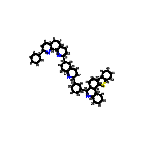 c1ccc(-c2ccc3ccc4ccc(-c5ccc6nc(-c7cccc(-c8nc9ccccc9c9c8ccc8c%10ccccc%10sc89)c7)ccc6c5)nc4c3n2)cc1